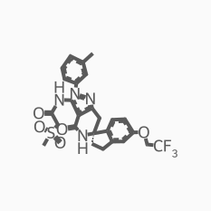 Cc1cccc(-n2nc3c(c2NC(=O)CS(C)(=O)=O)C(=O)N[C@@]2(CCc4cc(OCC(F)(F)F)ccc42)C3)c1